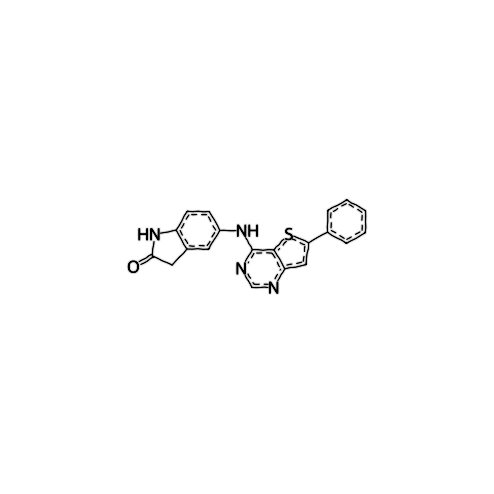 O=C1Cc2cc(Nc3ncnc4cc(-c5ccccc5)sc34)ccc2N1